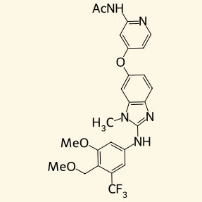 COCc1c(OC)cc(Nc2nc3ccc(Oc4ccnc(NC(C)=O)c4)cc3n2C)cc1C(F)(F)F